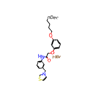 Br.CCCCCCCCCCCCCCOc1cccc(OCC(=O)Nc2cccc(CN3C=CSC3)c2)c1